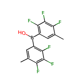 Cc1cc(B(O)c2cc(C)c(F)c(F)c2F)c(F)c(F)c1F